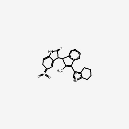 CC1=C(c2c[nH]c3c2CCCC3)c2ccccc2C1C1C(=O)NC2=CCC(=S(=O)=O)C=C21